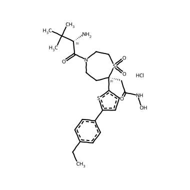 CCc1ccc(-c2ccc([C@@]3(CC(=O)NO)CCN(C(=O)[C@@H](N)C(C)(C)C)CCS3(=O)=O)s2)cc1.Cl